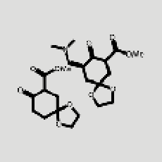 COC(=O)C1CC2(CC(=CN(C)C)C1=O)OCCO2.COC(=O)C1CC2(CCC1=O)OCCO2